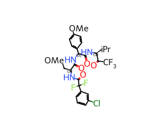 COC[C@H](NC(=O)C(F)(F)c1cccc(Cl)c1)C(=O)N[C@H](C(=O)N[C@H](C(=O)C(F)(F)F)C(C)C)c1ccc(OC)cc1